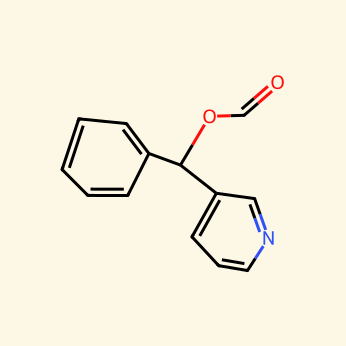 O=COC(c1ccccc1)c1cccnc1